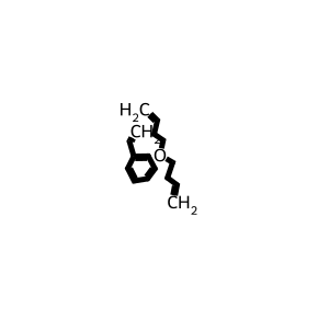 C=CCCOCCC=C.C=Cc1ccccc1